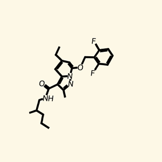 CCC[C](C)CNC(=O)c1c(C)nn2c(OCc3c(F)cccc3F)cc(CC)cc12